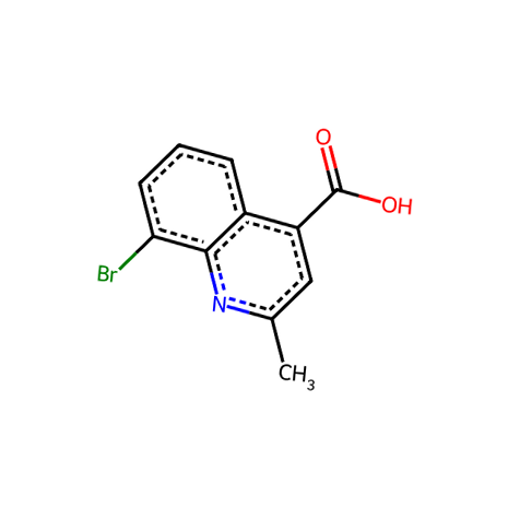 Cc1cc(C(=O)O)c2cccc(Br)c2n1